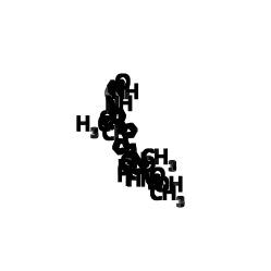 CCC(NCc1cc(C(F)(F)F)c(O[C@H]2CCc3c(-c4cccc(-c5ccc(CNC[C@@H]6CCC(=O)N6)c(OC)n5)c4Cl)cccc32)nc1OC)C(=O)O